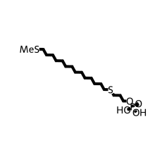 CSCCCCCCCCCCCCCCSCCCOP(=O)(O)O